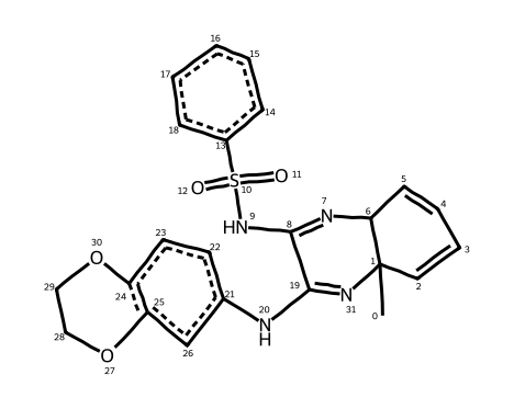 CC12C=CC=CC1N=C(NS(=O)(=O)c1ccccc1)C(Nc1ccc3c(c1)OCCO3)=N2